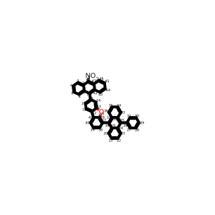 O=[N+]([O-])c1c2ccccc2c(-c2ccc3c(c2)oc2c(-c4c5ccccc5c(-c5ccccc5)c5ccccc45)cccc23)c2ccccc12